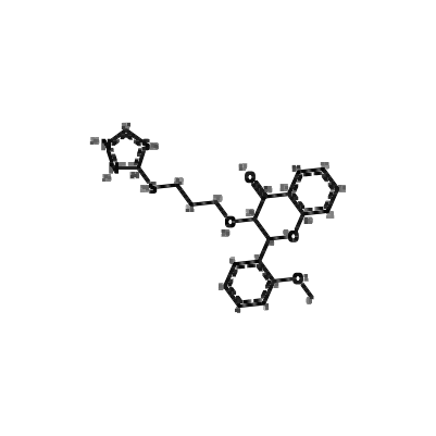 COc1ccccc1C1Oc2ccccc2C(=O)C1OCCCSc1nncs1